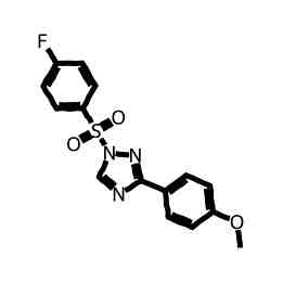 COc1ccc(-c2ncn(S(=O)(=O)c3ccc(F)cc3)n2)cc1